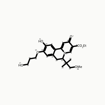 CCOC(=O)c1cn2c(cc1=O)-c1cc(O)c(OCCCO)cc1CC2C(C)(C)COC